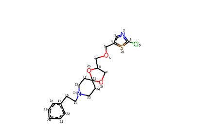 Clc1ncc(COCC2COC3(CCN(CCc4ccccc4)CC3)O2)s1